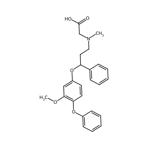 COc1cc(OC(CCN(C)CC(=O)O)c2ccccc2)ccc1Oc1ccccc1